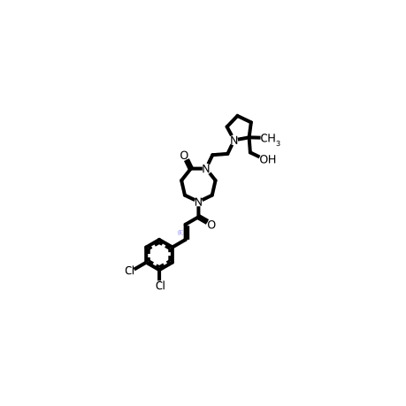 CC1(CO)CCCN1CCN1CCN(C(=O)/C=C/c2ccc(Cl)c(Cl)c2)CCC1=O